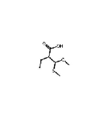 CCC(C(=O)O)C(OC)SC